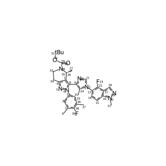 Cc1cc(-n2nc3c(c2-c2ncn(-c4ccc5c(cnn5C)c4F)c2C)[C@H](C)N(C(=O)OC(C)(C)C)CC3)cc(C)c1F